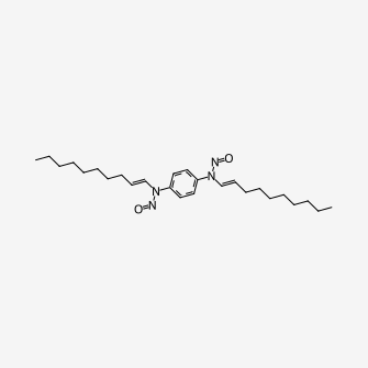 CCCCCCCCC=CN(N=O)c1ccc(N(C=CCCCCCCCC)N=O)cc1